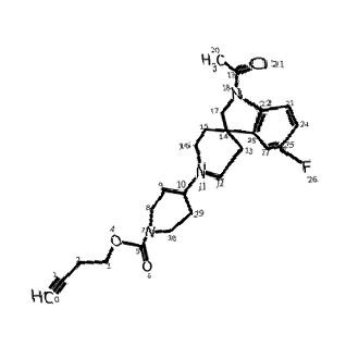 C#CCCOC(=O)N1CCC(N2CCC3(CC2)CN(C(C)=O)c2ccc(F)cc23)CC1